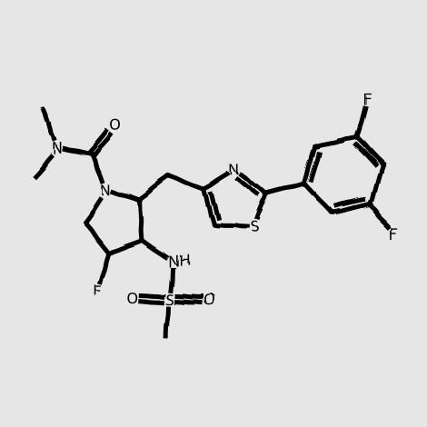 CN(C)C(=O)N1CC(F)C(NS(C)(=O)=O)C1Cc1csc(-c2cc(F)cc(F)c2)n1